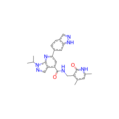 Cc1cc(C)c(CNC(=O)c2cc(-c3ccc4cn[nH]c4c3)nc3c2cnn3C(C)C)c(=O)[nH]1